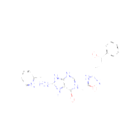 Cc1ccc([C@H]2C[C@H](c3noc(Cn4cnc5nc(NCc6ccccn6)n(C)c5c4=O)n3)CO2)cc1